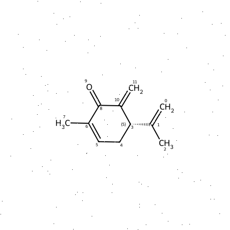 C=C(C)[C@@H]1CC=C(C)C(=O)C1=C